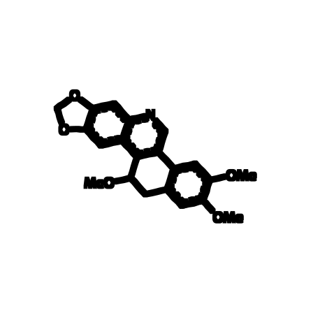 COc1cc2c(cc1OC)-c1cnc3cc4c(cc3c1C(OC)C2)OCO4